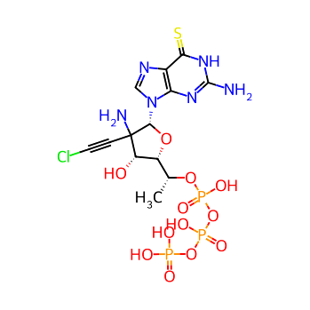 C[C@@H](OP(=O)(O)OP(=O)(O)OP(=O)(O)O)[C@H]1O[C@@H](n2cnc3c(=S)[nH]c(N)nc32)C(N)(C#CCl)[C@H]1O